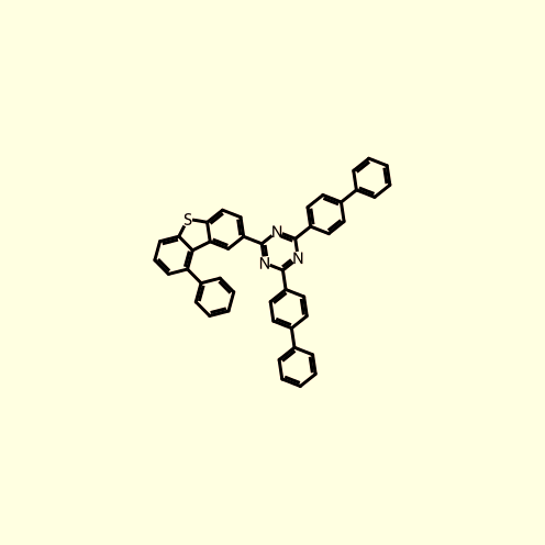 c1ccc(-c2ccc(-c3nc(-c4ccc(-c5ccccc5)cc4)nc(-c4ccc5sc6cccc(-c7ccccc7)c6c5c4)n3)cc2)cc1